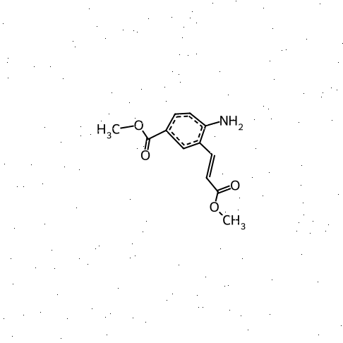 COC(=O)/C=C/c1cc(C(=O)OC)ccc1N